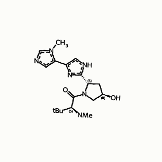 CN[C@H](C(=O)N1C[C@H](O)C[C@H]1c1nc(-c2cncn2C)c[nH]1)C(C)(C)C